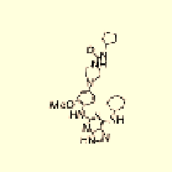 COc1cc(N2CCN(C(=O)NC3CCCC3)CC2)ccc1Nc1nc(NC2CCCCC2)c2nc[nH]c2n1